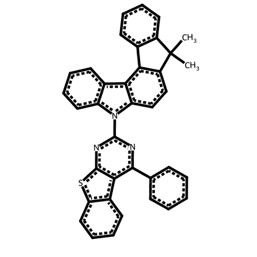 CC1(C)c2ccccc2-c2c1ccc1c2c2ccccc2n1-c1nc(-c2ccccc2)c2c(n1)sc1ccccc12